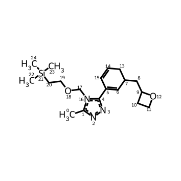 Cc1nnc(C2=CC(CC3CCO3)CC=C2)n1COCC[Si](C)(C)C